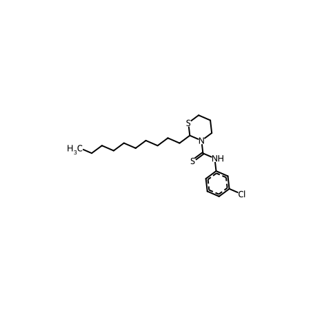 CCCCCCCCCCC1SCCCN1C(=S)Nc1cccc(Cl)c1